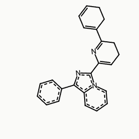 C1=CCCC(C2=NC(c3nc(-c4ccccc4)c4ccccn34)=CCC2)=C1